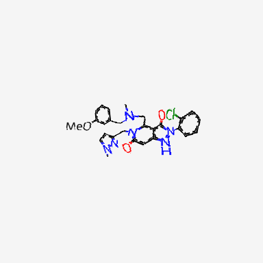 COc1cccc(CN(C)Cc2c3c(=O)n(-c4ccccc4Cl)[nH]c3cc(=O)n2Cc2ccn(C)n2)c1